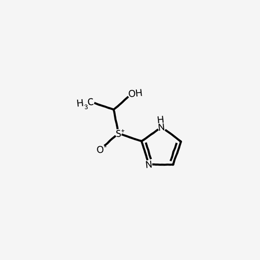 CC(O)[S+]([O-])c1ncc[nH]1